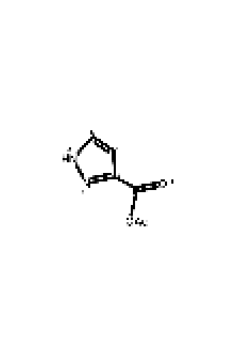 CC(=O)OC(=O)c1cc[nH]n1